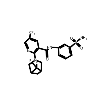 NS(=O)(=O)c1cccc(NC(=O)c2cc(C(F)(F)F)cnc2N2CC3CC(C2)C3(F)F)c1